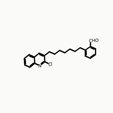 O=Cc1ccccc1CCCCCCCc1cc2ccccc2nc1Cl